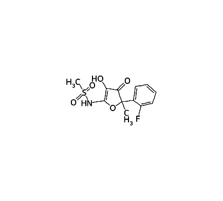 CC1(c2ccccc2F)OC(NS(C)(=O)=O)=C(O)C1=O